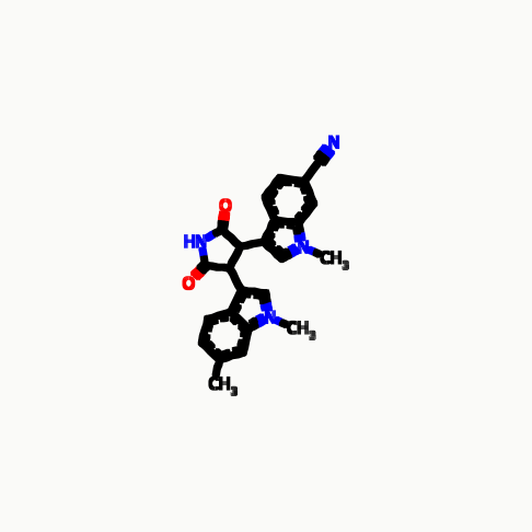 Cc1ccc2c(C3C(=O)NC(=O)C3c3cn(C)c4cc(C#N)ccc34)cn(C)c2c1